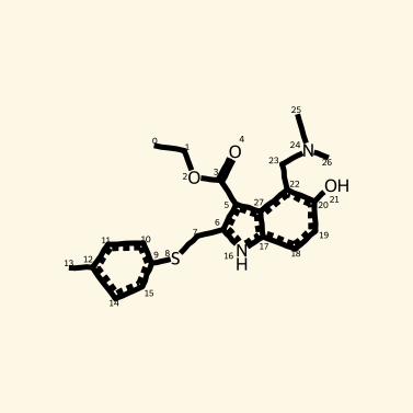 CCOC(=O)c1c(CSc2ccc(C)cc2)[nH]c2ccc(O)c(CN(C)C)c12